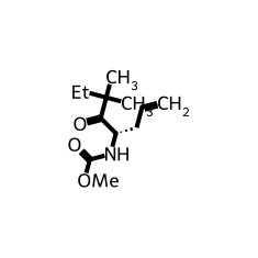 C=CC[C@H](NC(=O)OC)C(=O)C(C)(C)CC